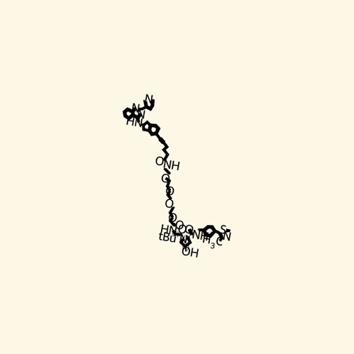 Cc1ncsc1-c1ccc(CNC(=O)[C@@H]2C[C@@H](O)CN2C(=O)[C@@H](NC(=O)COCCOCCOCCOCCNC(=O)CCCC#Cc2ccc3c(c2)CC(Nc2nc(-c4cccnc4)nc4ccccc24)C3)C(C)(C)C)cc1